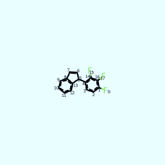 Fc1ccc([C]2C=Cc3ccccc32)c(F)c1F